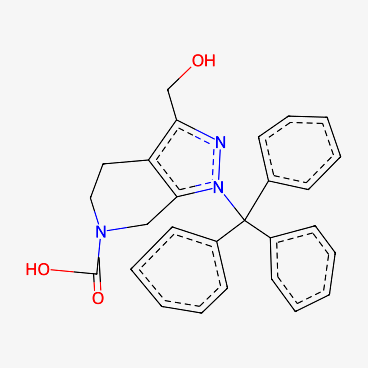 O=C(O)N1CCc2c(CO)nn(C(c3ccccc3)(c3ccccc3)c3ccccc3)c2C1